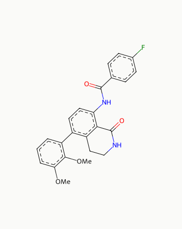 COc1cccc(-c2ccc(NC(=O)c3ccc(F)cc3)c3c2CCNC3=O)c1OC